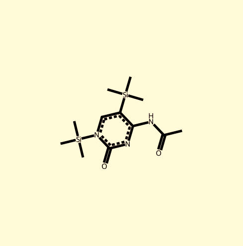 CC(=O)Nc1nc(=O)n([Si](C)(C)C)cc1[Si](C)(C)C